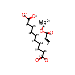 C=CC(=O)OC.O=C([O-])CCCCCCCCC(=O)[O-].[Mg+2]